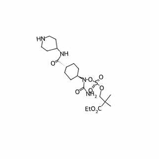 CCOC(=O)C(C)(C)COS(=O)(=O)ON(C(N)=O)[C@H]1CC[C@H](C(=O)NC2CCNCC2)CC1